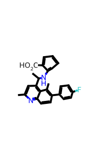 Cc1cc(C(C)Nc2ccccc2C(=O)O)c2c(C)c(-c3ccc(F)cc3)ccc2n1